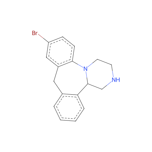 Brc1ccc2c(c1)Cc1ccccc1C1CNCCN21